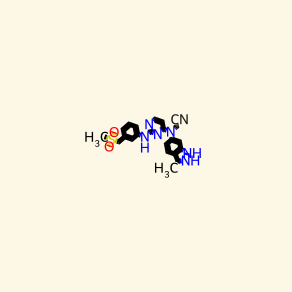 CC1NNc2cc(N(CC#N)c3ccnc(Nc4cccc(CS(C)(=O)=O)c4)n3)ccc21